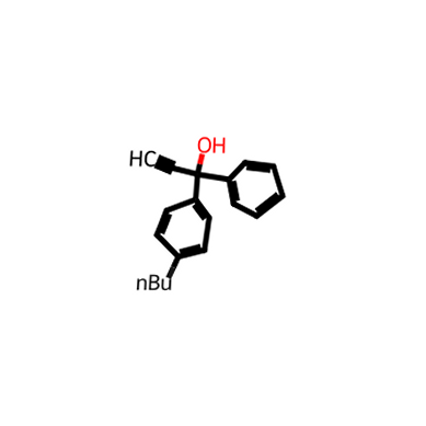 C#CC(O)(c1ccccc1)c1ccc(CCCC)cc1